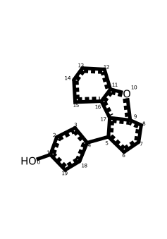 Oc1ccc(-c2cccc3oc4ccccc4c23)cc1